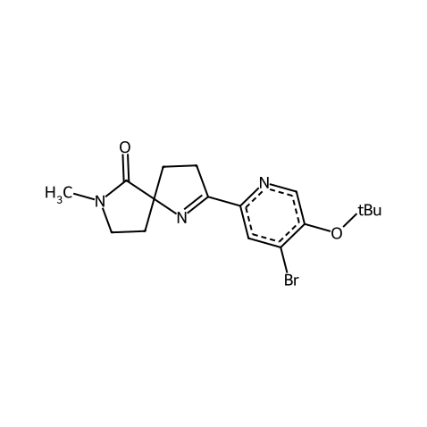 CN1CCC2(CCC(c3cc(Br)c(OC(C)(C)C)cn3)=N2)C1=O